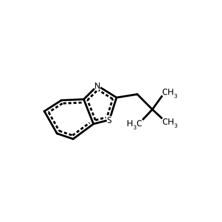 CC(C)(C)Cc1nc2ccccc2s1